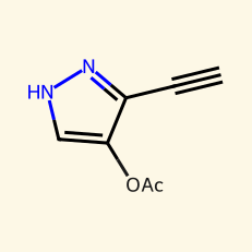 C#Cc1n[nH]cc1OC(C)=O